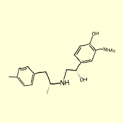 CC(=O)Nc1cc([C@H](O)CN[C@H](C)Cc2ccc(C)cc2)ccc1O